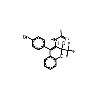 CC(=O)NC1=C(c2ccc(Br)cc2)c2ccccc2OC1(O)C(F)(F)F